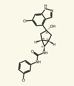 O=C(Nc1cccc(Cl)c1)N[C@H]1[C@@H]2C[C@@](O)(c3cc(Cl)cc4[nH]ncc34)C[C@@H]21